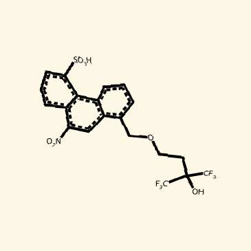 O=[N+]([O-])c1cc2c(COCCC(O)(C(F)(F)F)C(F)(F)F)cccc2c2c(S(=O)(=O)O)cccc12